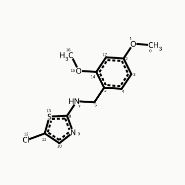 COc1ccc(CNc2ncc(Cl)s2)c(OC)c1